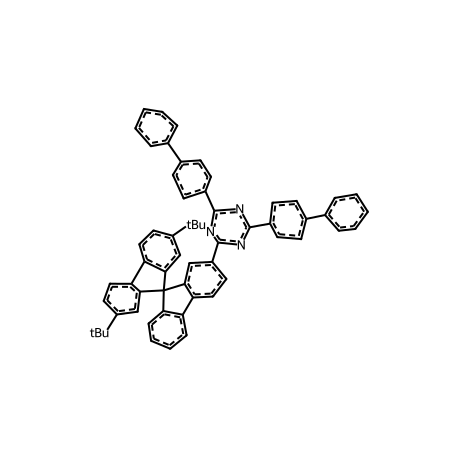 CC(C)(C)c1ccc2c(c1)C1(c3ccccc3-c3ccc(-c4nc(-c5ccc(-c6ccccc6)cc5)nc(-c5ccc(-c6ccccc6)cc5)n4)cc31)c1cc(C(C)(C)C)ccc1-2